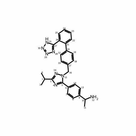 CC(C)c1nc(-c2ccc(C(C)N)cc2)n(Cc2ccc(-c3ccccc3-c3nnn[nH]3)cc2)n1